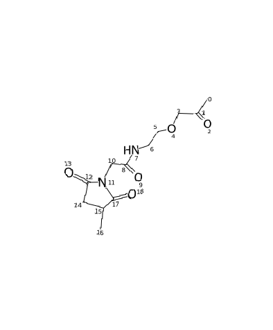 CC(=O)COCCNC(=O)CN1C(=O)CC(C)C1=O